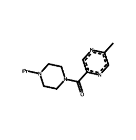 Cc1cnc(C(=O)N2CCN(C(C)C)CC2)cn1